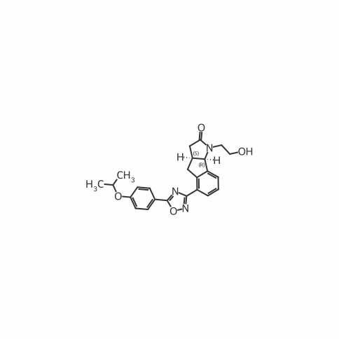 CC(C)Oc1ccc(-c2nc(-c3cccc4c3C[C@H]3CC(=O)N(CCO)[C@@H]43)no2)cc1